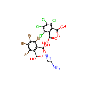 NCCN.O=C(O)c1c(Br)c(Br)c(Br)c(Br)c1C(=O)O.O=C(O)c1c(Cl)c(Cl)c(Cl)c(Cl)c1C(=O)O